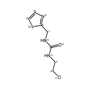 O=C(NCCCl)NCc1nccs1